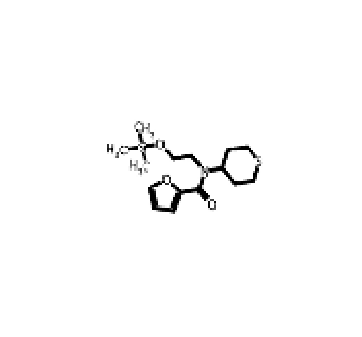 C[Si](C)(C)OCCN(C(=O)c1ccco1)C1CCSCC1